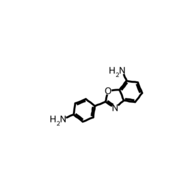 Nc1ccc(-c2nc3cccc(N)c3o2)cc1